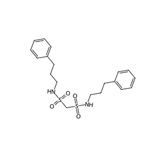 O=S(=O)(CS(=O)(=O)NCCCc1ccccc1)NCCCc1ccccc1